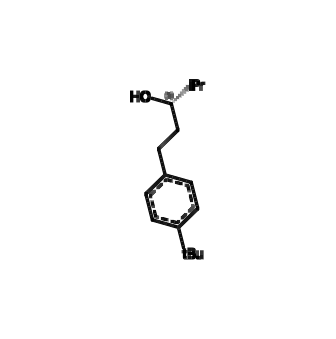 CC(C)[C@@H](O)CCc1ccc(C(C)(C)C)cc1